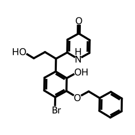 O=c1cc[nH]c(C(CCO)c2ccc(Br)c(OCc3ccccc3)c2O)c1